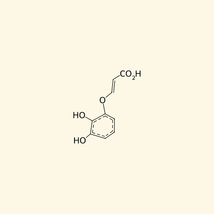 O=C(O)C=COc1cccc(O)c1O